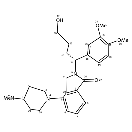 CNC1CCN(c2cccc3c2CN([C@H](CCCO)c2ccc(OC)c(OC)c2)C3=O)CC1